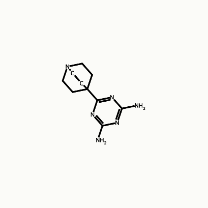 Nc1nc(N)nc(C23CCN(CC2)CC3)n1